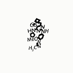 COc1cc(Nc2nc3c(c(NC4CCCC4)n2)[S+]([O-])C2(CCC2)C3)ccc1-n1cnc(C)c1